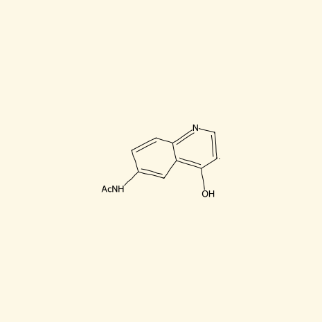 CC(=O)Nc1ccc2nc[c]c(O)c2c1